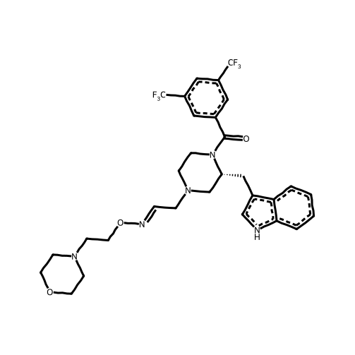 O=C(c1cc(C(F)(F)F)cc(C(F)(F)F)c1)N1CCN(C/C=N/OCCN2CCOCC2)C[C@H]1Cc1c[nH]c2ccccc12